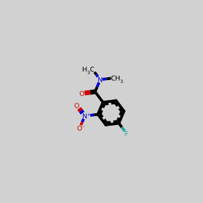 CN(C)C(=O)c1ccc(F)cc1[N+](=O)[O-]